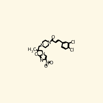 CC1(CN2CCN(C(=O)C=Cc3ccc(Cl)c(Cl)c3)CC2)Cn2cc([N+](=O)[O-])nc2O1